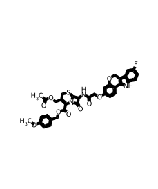 COc1ccc(COC(=O)C2=C(COC(C)=O)CSC3C(NC(=O)COc4ccc5c(c4)OCc4c-5[nH]c5ccc(F)cc45)C(=O)N23)cc1